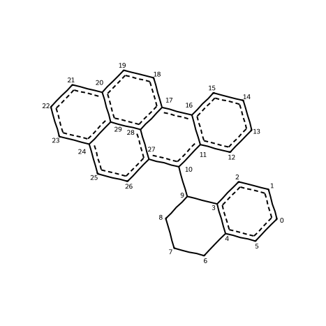 c1ccc2c(c1)CCCC2c1c2ccccc2c2ccc3cccc4ccc1c2c43